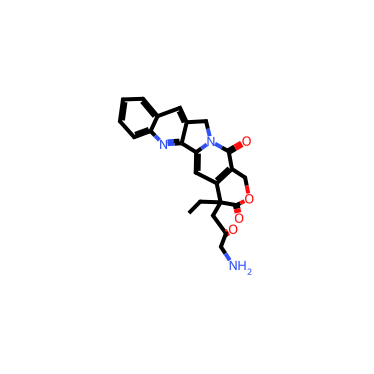 CCC1(CC(=O)CN)C(=O)OCc2c1cc1n(c2=O)Cc2cc3ccccc3nc2-1